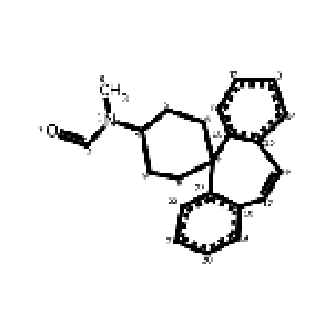 CN(C=O)C1CCC2(CC1)c1ccccc1C=Cc1ccccc12